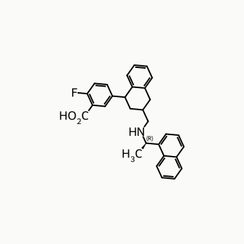 C[C@@H](NCC1Cc2ccccc2C(c2ccc(F)c(C(=O)O)c2)C1)c1cccc2ccccc12